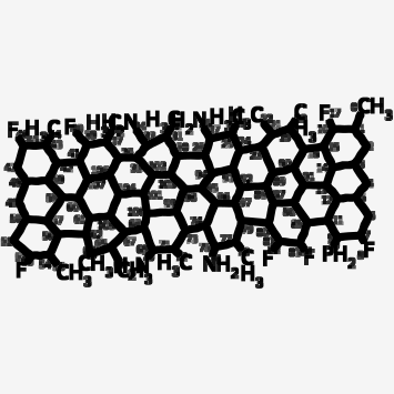 CC1CC2CC3CC(F)C(P)C4C3C3C2C(C1F)C1C(C)C(C)C2C5C(C)C(N)C6C7C(C)C(N)C8C9C(C)C(F)C%10C%11C(C)C(F)CC%12CC%13CC(F)C(C)C%14C%13C(C%12%11)C%11C%12C%14C(C)C(C)C%13C%14C(N)C(C)C%15C%16C(N)C(C)C%17C%18C(F)C(F)C4C4C%18C(C2C1C34)C1C5C6C(C%16C%171)C1C%15C%14C(C8C71)C(C%13%12)C9C%10%11